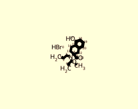 Br.C=CCN(CC=C)C1(C(=O)OC)CCc2c(O)cccc2C1